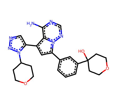 Nc1ncnn2c(-c3cccc(C4(O)CCOCC4)c3)cc(-c3cnnn3C3CCOCC3)c12